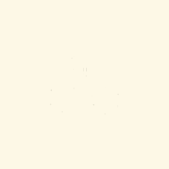 CC[SiH](CC)C(c1ccccc1)c1ccccc1